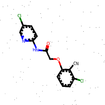 N#Cc1c(Cl)cccc1OCC(=O)Nc1ccc(Cl)cn1